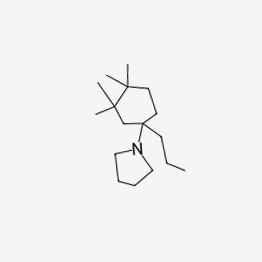 CCCC1(N2CCCC2)CCC(C)(C)C(C)(C)C1